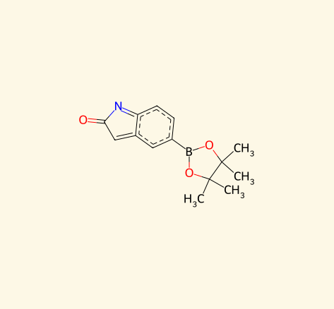 CC1(C)OB(c2ccc3c(c2)=CC(=O)N=3)OC1(C)C